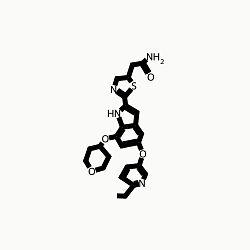 CCc1ccc(Oc2cc(OC3CCOCC3)c3[nH]c(C4=NCC(CC(N)=O)S4)cc3c2)cn1